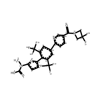 CN(C(=O)O)c1ccc(-c2c(C(F)(F)F)cc(-c3ccc(C(=O)N4CC(F)(F)C4)cn3)cc2C(F)(F)F)o1